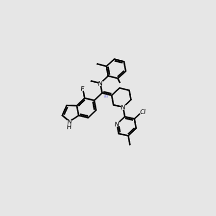 Cc1cnc(N2CCC/C(=C(/c3ccc4[nH]ccc4c3F)N(C)c3c(C)cccc3C)C2)c(Cl)c1